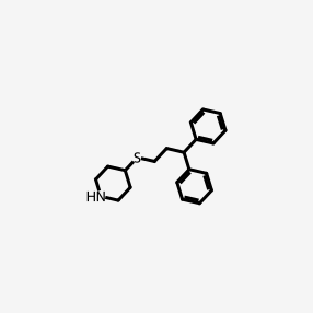 c1ccc(C(CCSC2CCNCC2)c2ccccc2)cc1